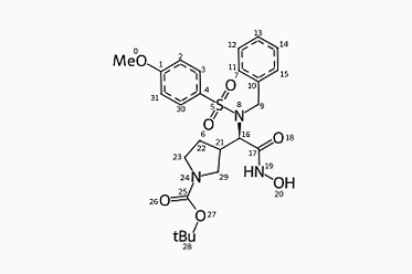 COc1ccc(S(=O)(=O)N(Cc2ccccc2)[C@@H](C(=O)NO)C2CCN(C(=O)OC(C)(C)C)C2)cc1